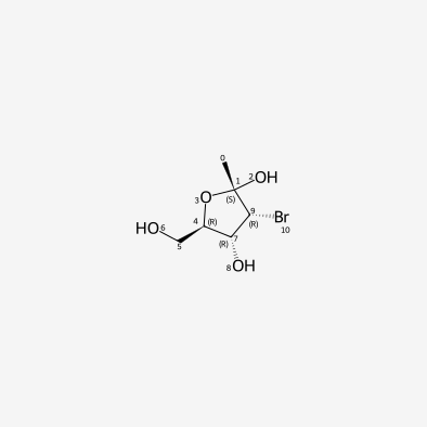 C[C@]1(O)O[C@H](CO)[C@@H](O)[C@H]1Br